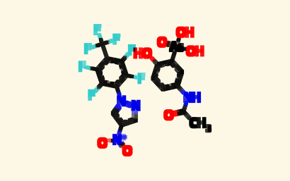 CC(=O)Nc1ccc(O)c([As](=O)(O)O)c1.O=[N+]([O-])c1cnn(-c2c(F)c(F)c(C(F)(F)F)c(F)c2F)c1